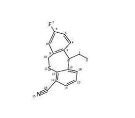 CCC1c2ccc(F)cc2CSc2c(C#N)cccc21